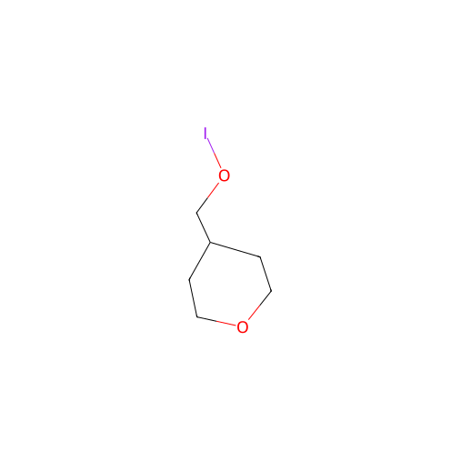 IOCC1CCOCC1